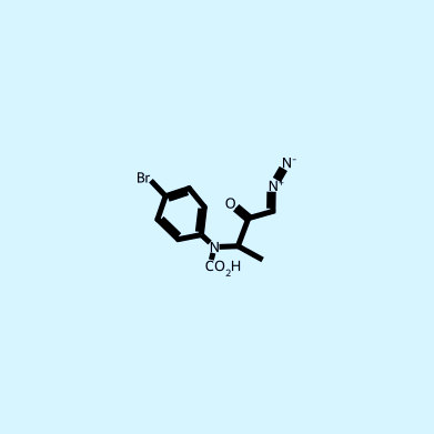 CC(C(=O)C=[N+]=[N-])N(C(=O)O)c1ccc(Br)cc1